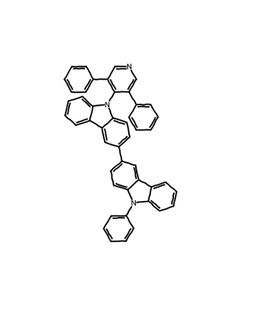 c1ccc(-c2cncc(-c3ccccc3)c2-n2c3ccccc3c3cc(-c4ccc5c(c4)c4ccccc4n5-c4ccccc4)ccc32)cc1